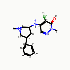 CN1CC(Nc2cnn(C)c(=O)c2Br)CC(c2ccccc2)C1